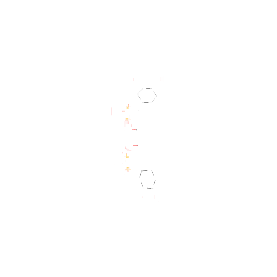 COc1cc(C(CC(=O)CC(=O)CC(c2ccc(O)c(OC)c2)S(=O)(=O)O)S(=O)(=O)O)ccc1O